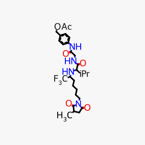 CC(=O)OCc1ccc(NC(=O)CNC(=O)C(NC(CCCCCN2C(=O)CC(C)C2=O)C(F)(F)F)C(C)C)cc1